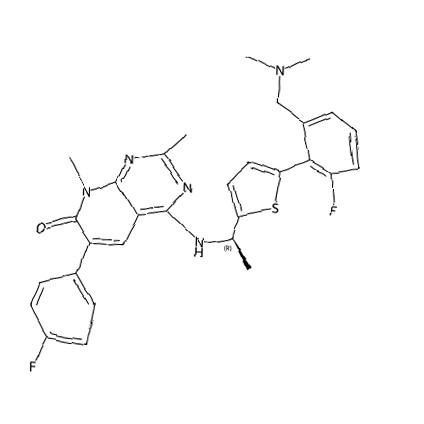 Cc1nc(N[C@H](C)c2ccc(-c3c(F)cccc3CN(C)C)s2)c2cc(-c3ccc(F)cc3)c(=O)n(C)c2n1